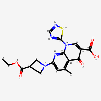 CCOC(=O)C1CN(c2cc(C)c3c(=O)c(C(=O)O)cn(-c4ncns4)c3n2)C1